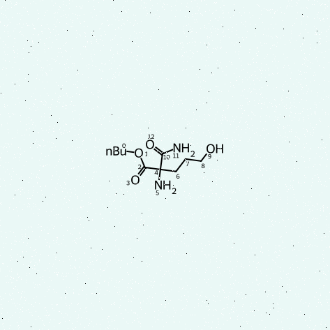 CCCCOC(=O)C(N)(CCCO)C(N)=O